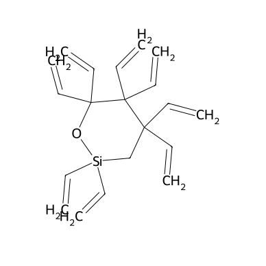 C=CC1(C=C)C[Si](C=C)(C=C)OC(C=C)(C=C)C1(C=C)C=C